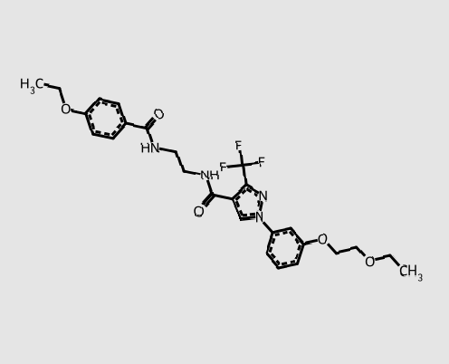 CCOCCOc1cccc(-n2cc(C(=O)NCCNC(=O)c3ccc(OCC)cc3)c(C(F)(F)F)n2)c1